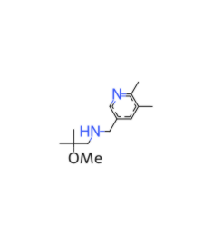 COC(C)(C)CNCc1cnc(C)c(C)c1